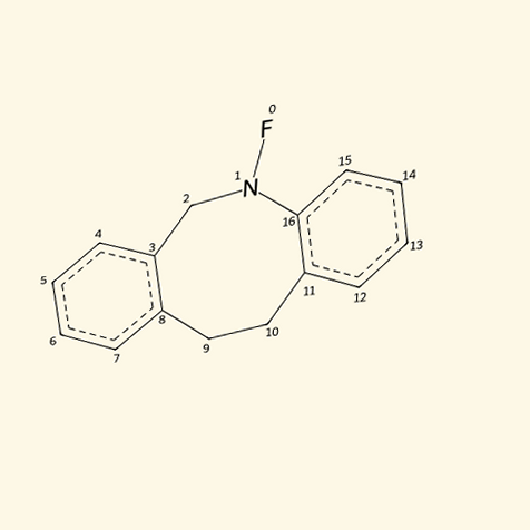 FN1Cc2ccccc2CCc2ccccc21